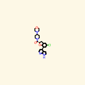 O=C([C@H]1Cc2cc(Cl)cc(-c3ccnc4[nH]ccc34)c2O1)N1CCC(N2CCOCC2)CC1